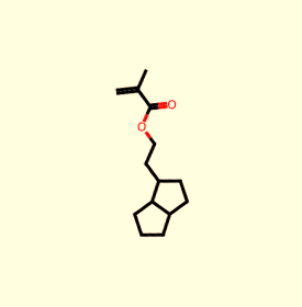 C=C(C)C(=O)OCCC1CCC2CCCC21